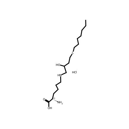 CCCCCCCCCCC(O)CNCCCC[C@H](N)C(=O)O.Cl